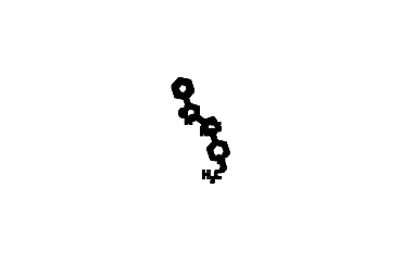 CCN1CCC(c2nc(C3=NOC(c4ccccc4)C3)cs2)CC1